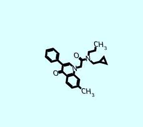 CCCN(CC1CC1)C(=O)Cn1cc(-c2ccccc2)c(=O)c2ccc(C)cc21